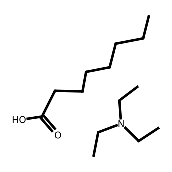 CCCCCCCC(=O)O.CCN(CC)CC